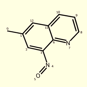 Cc1cc(N=O)c2ncccc2c1